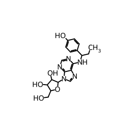 CCC(Nc1ncnc2c1ncn2C1OC(CO)C(O)C1O)c1ccc(O)cc1